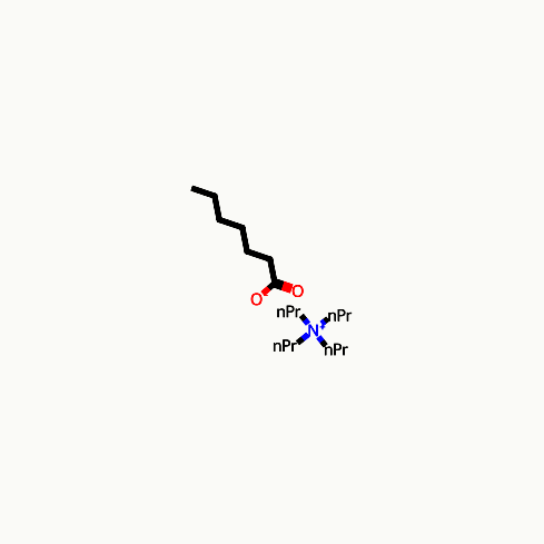 CCCCCCC(=O)[O-].CCC[N+](CCC)(CCC)CCC